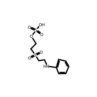 O=S(=O)(CCNc1ccccc1)CCOS(=O)(=O)O